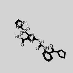 O=C(Nc1nc(C(=O)O)c(S(=O)(=O)c2ncc[nH]2)s1)Nc1ccccc1C(=O)C1CCCC1